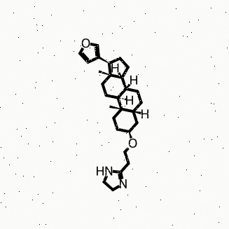 C[C@]12CC[C@H](OCCC3=NCCN3)C[C@H]1CC[C@H]1[C@H]3CC[C@H](c4ccoc4)[C@@]3(C)CC[C@@H]12